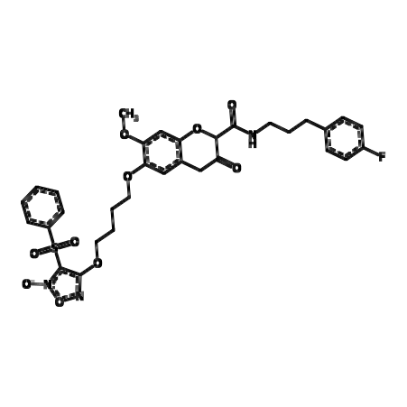 COc1cc2c(cc1OCCCCOc1no[n+]([O-])c1S(=O)(=O)c1ccccc1)CC(=O)C(C(=O)NCCCc1ccc(F)cc1)O2